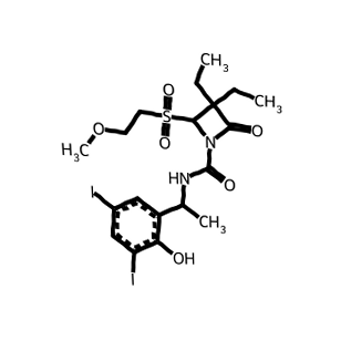 CCC1(CC)C(=O)N(C(=O)NC(C)c2cc(I)cc(I)c2O)C1S(=O)(=O)CCOC